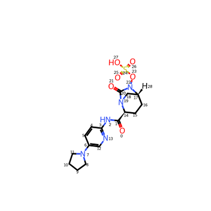 O=C(Nc1ccc(N2CCCC2)cn1)[C@@H]1CC[C@@H]2CN1C(=O)N2OS(=O)(=O)O